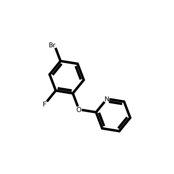 Fc1cc(Br)ccc1Oc1ccccn1